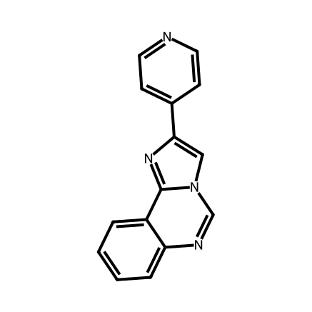 c1ccc2c(c1)ncn1cc(-c3ccncc3)nc21